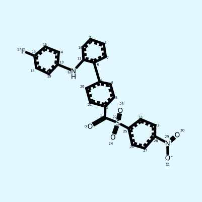 O=C(c1ccc(-c2ccccc2Nc2ccc(F)cc2)cc1)S(=O)(=O)c1ccc([N+](=O)[O-])cc1